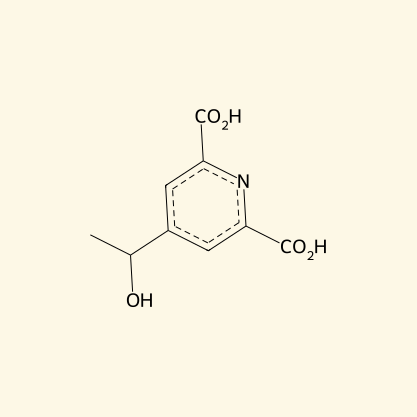 CC(O)c1cc(C(=O)O)nc(C(=O)O)c1